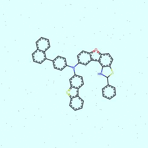 c1ccc(C2Nc3c(ccc4oc5ccc(N(c6ccc(-c7cccc8ccccc78)cc6)c6ccc7c(c6)sc6ccccc67)cc5c34)S2)cc1